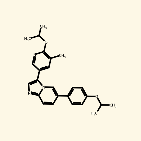 Cc1cc(-c2cnc3ccc(-c4ccc(OC(C)C)cc4)cn23)cnc1OC(C)C